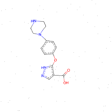 O=C(O)c1cn[nH]c1Oc1ccc(N2CCNCC2)cc1